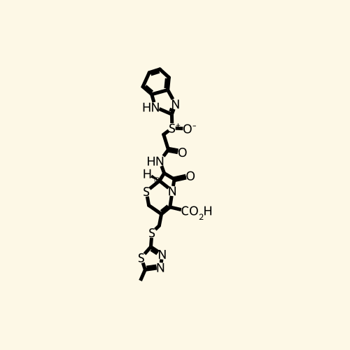 Cc1nnc(SCC2=C(C(=O)O)N3C(=O)C(NC(=O)C[S+]([O-])c4nc5ccccc5[nH]4)[C@H]3SC2)s1